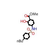 CCCCc1ccc(S(=O)(=O)Nc2ccc(C(=O)OC)c(O)c2)cc1